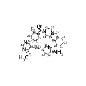 CCc1ncnc(-c2ccc(C(=O)N3CCN(CC4CCCCC4)CC3)c(F)c2)c1C#Cc1ccc(N)nc1